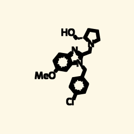 COc1ccc2nc(CN3CCC[C@H]3CO)n(Cc3ccc(Cl)cc3)c2c1